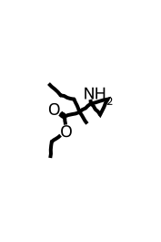 CCCC(C)(C(=O)OCC)C1(N)CC1